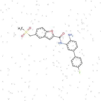 CS(=O)(=O)Cc1ccc2oc(C(=O)Nc3cc(-c4ccc(F)cc4)ccc3N)cc2c1